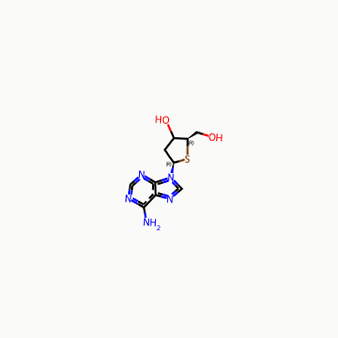 Nc1ncnc2c1ncn2[C@H]1CC(O)[C@@H](CO)S1